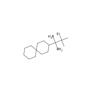 BC(B)(C1CCC2(CCCCC2)CC1)C(C)(C)CC